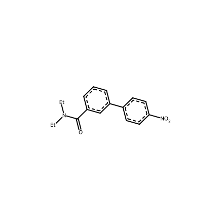 CCN(CC)C(=O)c1cccc(-c2ccc([N+](=O)[O-])cc2)c1